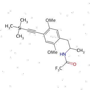 COc1cc(CC(C)NC(=O)C(F)(F)F)c(OC)cc1C#C[Si](C)(C)C